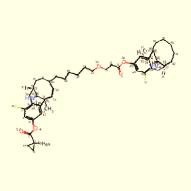 CCCCCCC1(C(=O)Oc2cc(F)c3c(c2)[C@@]2(C)CCC(CCCCCCOCCC(=O)Oc4cc(F)c5c(c4)[C@@]4(C)CCCCC[C@@H](C5)[C@@H]4N)CC[C@@H](C3)[C@@H]2N)CC1